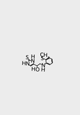 CSc1ccccc1NCC(O)c1c[nH]c(=S)[nH]1